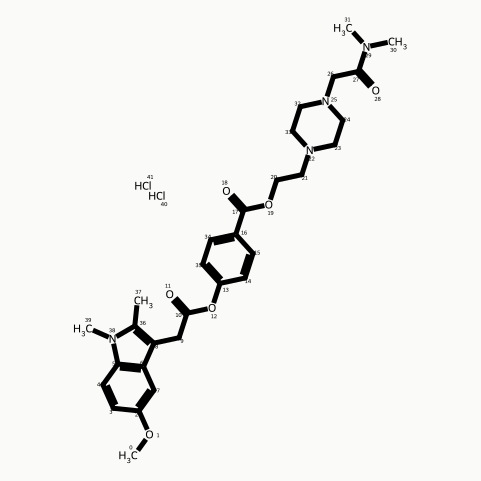 COc1ccc2c(c1)c(CC(=O)Oc1ccc(C(=O)OCCN3CCN(CC(=O)N(C)C)CC3)cc1)c(C)n2C.Cl.Cl